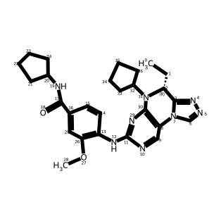 CC[C@@H]1c2nncn2-c2cnc(Nc3ccc(C(=O)NC4CCCC4)cc3OC)nc2N1C1CCCC1